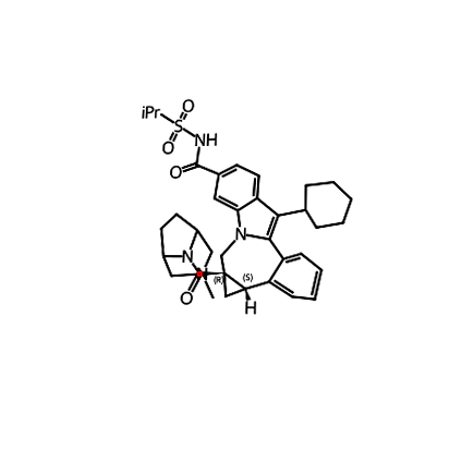 CC(C)S(=O)(=O)NC(=O)c1ccc2c(C3CCCCC3)c3n(c2c1)C[C@@]1(C(=O)N2C4CCC2CN(C)C4)C[C@H]1c1ccccc1-3